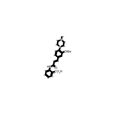 COc1cc(/C=C/C(=O)Nc2ccccc2C(=O)O)ccc1N1CCN(C)CC1